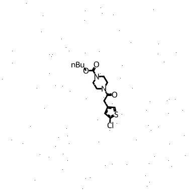 CCCCOC(=O)N1CCN(C(=O)Cc2csc(Cl)c2)CC1